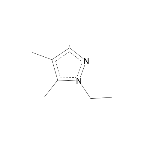 CCn1n[c]c(C)c1C